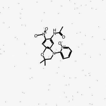 CC(=O)Nc1cc2c(cc1[N+](=O)[O-])OC(C)(C)CN2c1cccc[n+]1[O-]